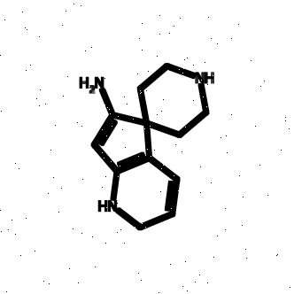 NC1=CC2=C(C=CCN2)C12CCNCC2